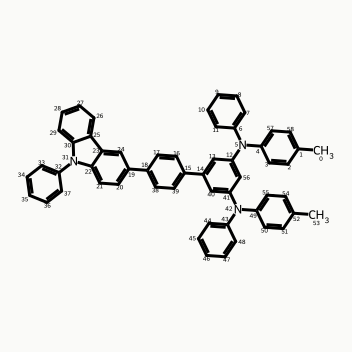 Cc1ccc(N(c2ccccc2)c2cc(-c3ccc(-c4ccc5c(c4)c4ccccc4n5-c4ccccc4)cc3)cc(N(c3ccccc3)c3ccc(C)cc3)c2)cc1